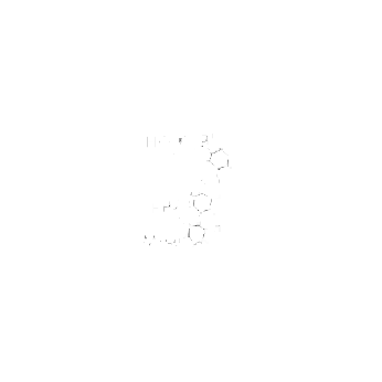 CCOCc1cc(COc2cccc([C@@H](CC)CC(=O)O)c2)ccc1-c1cc(OC)ccc1F